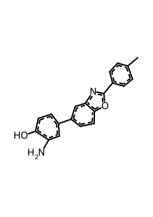 Cc1ccc(-c2nc3cc(-c4ccc(O)c(N)c4)ccc3o2)cc1